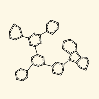 c1ccc(-c2cc(-c3cccc(-n4c5ccccc5c5ccccc54)c3)cc(-c3nc(-c4ccccc4)nc(-c4ccccc4)n3)c2)cc1